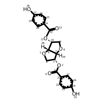 O=C(O[C@@H]1CO[C@H]2[C@@H]1OC[C@H]2OC(=O)c1ccc(O)cc1)c1ccc(O)cc1